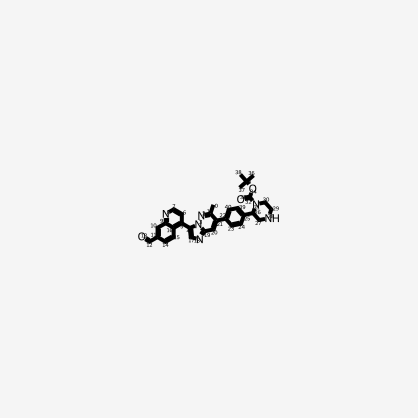 Cc1nn2c(-c3ccnc4cc(C=O)ccc34)cnc2cc1-c1ccc(C2CNCCN2C(=O)OC(C)(C)C)cc1